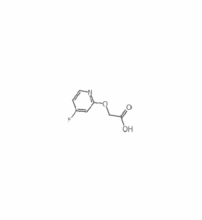 O=C(O)COc1cc(F)ccn1